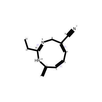 C=C1/C=C\C=C(\C#N)C/N=C(/CC)N1